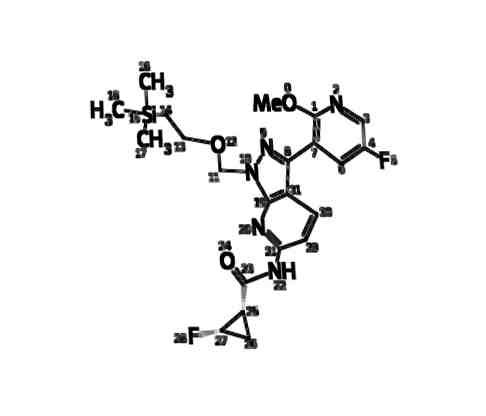 COc1ncc(F)cc1-c1nn(COCC[Si](C)(C)C)c2nc(NC(=O)[C@@H]3C[C@@H]3F)ccc12